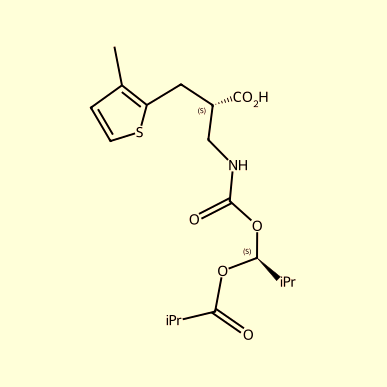 Cc1ccsc1C[C@@H](CNC(=O)O[C@H](OC(=O)C(C)C)C(C)C)C(=O)O